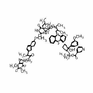 C=CCC1(CC(C)C)C(=O)NC(=O)NC1=O.CC(CN1c2ccccc2Sc2ccccc21)N(C)C.COc1ccc2cc([C@H](C)C(=O)O)ccc2c1.COc1cccc([C@@]2(O)CCCC[C@@H]2CN(C)C)c1.Cn1c(=O)c2c(ncn2C)n(C)c1=O.O=C(O)c1cccnc1